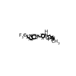 Cn1ncc(CC(=O)N[C@H]2CC[C@H](CCN3CCc4ccc(CCC(F)(F)F)nc4CC3)CC2)c1F